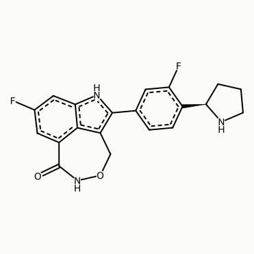 O=C1NOCc2c(-c3ccc([C@H]4CCCN4)c(F)c3)[nH]c3cc(F)cc1c23